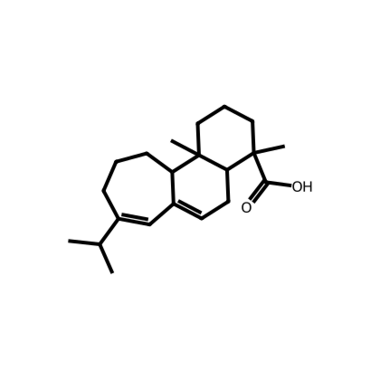 CC(C)C1=CC2=CCC3C(C)(C(=O)O)CCCC3(C)C2CCC1